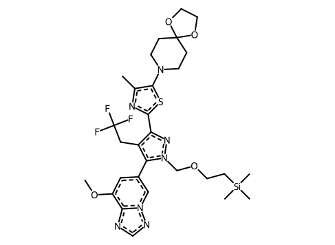 COc1cc(-c2c(CC(F)(F)F)c(-c3nc(C)c(N4CCC5(CC4)OCCO5)s3)nn2COCC[Si](C)(C)C)cn2ncnc12